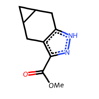 COC(=O)c1n[nH]c2c1CC1CC1C2